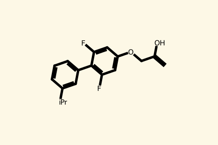 C=C(O)COc1cc(F)c(-c2cccc(C(C)C)c2)c(F)c1